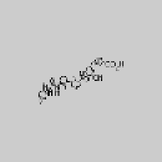 Cc1c(NC(=O)c2nc3c(n2C)CCN(C)C3)cccc1-c1cccc(-c2nc3cc(CN4CC[C@H](C(=O)O)C4)cc(C#N)c3o2)c1C